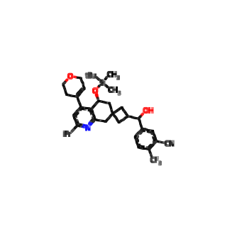 CC(C)c1cc(C2=CCOCC2)c2c(n1)CC1(CC(C(O)c3ccc(C(F)(F)F)c(C#N)c3)C1)C[C@@H]2O[Si](C)(C)C(C)(C)C